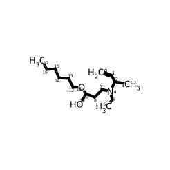 C=CC(C)N(CC)CCC(O)OCCCCCC